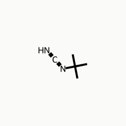 CC(C)(C)N=C=N